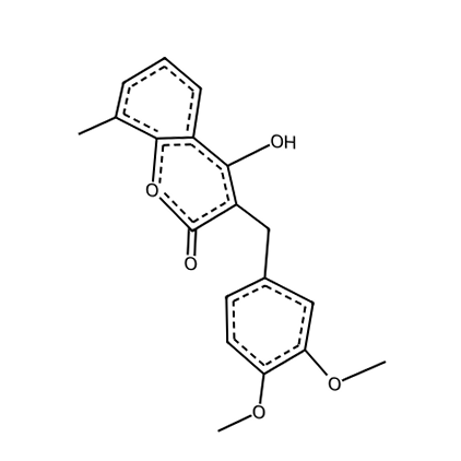 COc1ccc(Cc2c(O)c3cccc(C)c3oc2=O)cc1OC